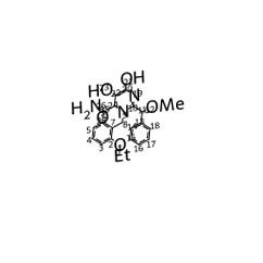 CCOc1ccccc1CN1C(C(OC)c2ccccc2)=NC(O)=C(O)C1C(N)=O